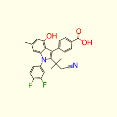 Cc1cc(O)c2c(-c3ccc(C(=O)O)cc3)c(C(C)(C)CC#N)n(-c3ccc(F)c(F)c3)c2c1